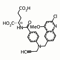 C#CCN(Cc1ccc2nc(Cl)cc(OC)c2c1)c1ccc(C(=O)N[C@@H](CCC(=O)O)C(=O)O)cc1